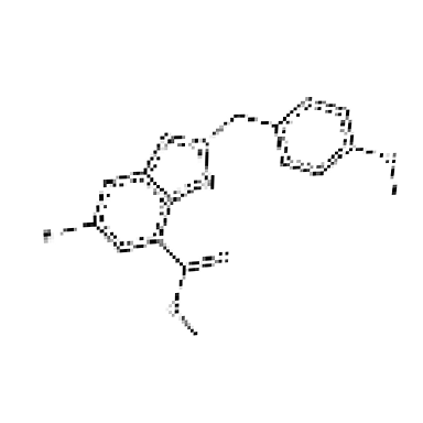 COC(=O)c1cc(Br)cc2cn(Cc3ccc(OC)cc3)nc12